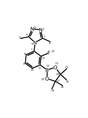 Cc1nnc(C)n1-c1cccc(B2OC(C)(C)C(C)(C)O2)c1F